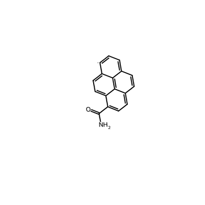 NC(=O)c1ccc2ccc3cc[c]c4ccc1c2c43